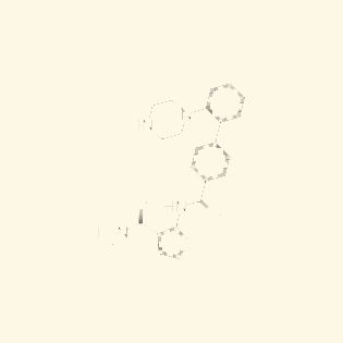 NC(=O)c1ccsc1NC(=O)c1ccc(-c2ccccc2N2CCNCC2)cc1